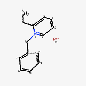 CCc1cccc[n+]1Cc1ccccc1.[Br-]